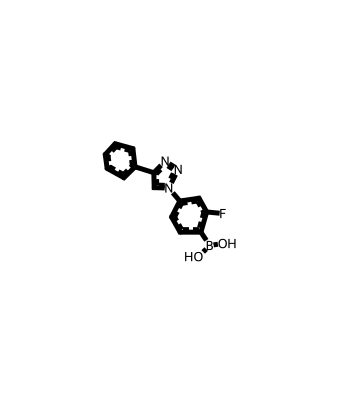 OB(O)c1ccc(-n2cc(-c3ccccc3)nn2)cc1F